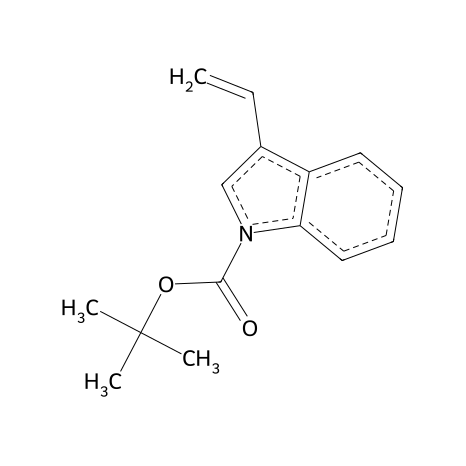 C=Cc1cn(C(=O)OC(C)(C)C)c2ccccc12